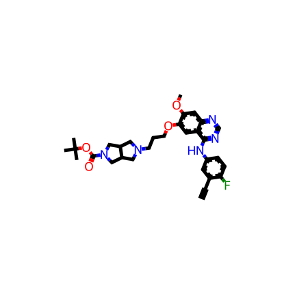 C#Cc1cc(Nc2ncnc3cc(OC)c(OCCCN4CC5CN(C(=O)OC(C)(C)C)CC5C4)cc23)ccc1F